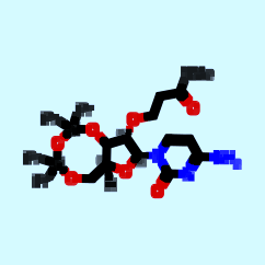 CNC(=O)CCO[C@H]1C2O[Si](C(C)C)(C(C)C)O[Si](C(C)C)(C(C)C)OC[C@H]2O[C@H]1n1ccc(N)nc1=O